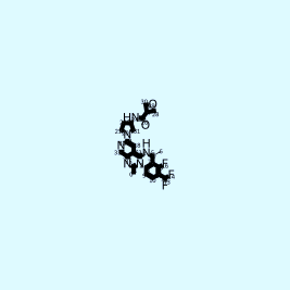 Cc1nc(N[C@H](C)c2cccc(C(F)F)c2F)c2cc(N3CC[C@@H](NC(=O)C4COC4)C3)ncc2n1